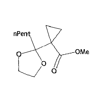 CCCCCC1(C2(C(=O)OC)CC2)OCCO1